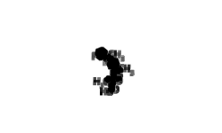 CCC(CCC(=O)O)N1N=C(c2ccc3c(c2)nc(-c2cccc(F)c2)n3C)C(C)SC1=O